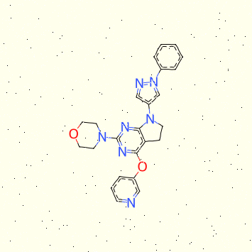 c1ccc(-n2cc(N3CCc4c(Oc5cccnc5)nc(N5CCOCC5)nc43)cn2)cc1